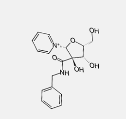 O=C(NCc1ccccc1)[C@@]1(O)[C@@H](O)[C@@H](CO)O[C@H]1[n+]1ccccc1